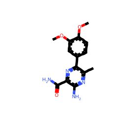 COc1ccc(-c2nc(C(N)=O)c(N)nc2C)cc1OC